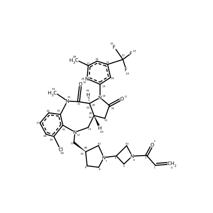 C=CC(=O)N1CC(N2CC[C@@H](CN3C[C@H]4CC(=O)N(c5cc(C(F)(F)F)cc(C)n5)[C@@H]4C(=O)N(C)c4cccc(Cl)c43)C2)C1